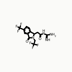 N=C(N)NC(=O)CC1c2ccc(C(F)(F)F)cc2C(=O)N1CC(F)(F)F